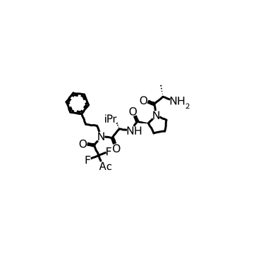 CC(=O)C(F)(F)C(=O)N(CCc1ccccc1)C(=O)[C@@H](NC(=O)[C@@H]1CCCN1C(=O)[C@H](C)N)C(C)C